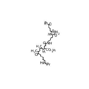 CC(C)NCCCCCC(=O)C(C)CCC(C)NC(CCC(=O)NCCCCC(NC(=O)CCCC(=O)C(C)C)C(N)=O)C(=O)O